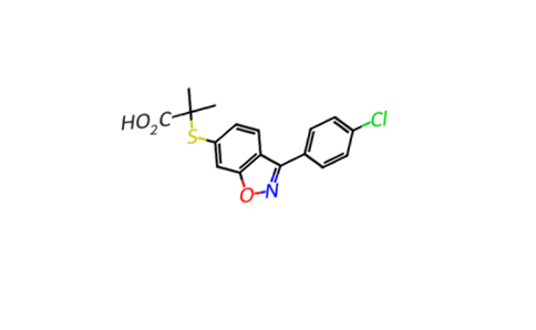 CC(C)(Sc1ccc2c(-c3ccc(Cl)cc3)noc2c1)C(=O)O